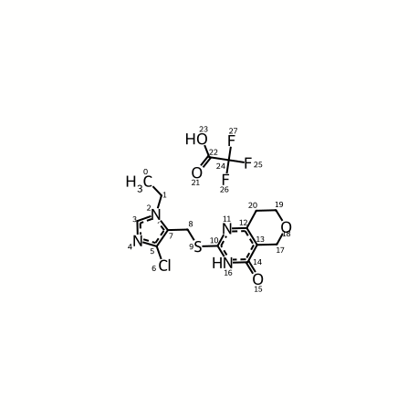 CCn1cnc(Cl)c1CSc1nc2c(c(=O)[nH]1)COCC2.O=C(O)C(F)(F)F